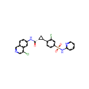 O=C(Nc1ccc2cncc(Cl)c2c1)[C@@H]1CC1c1ccc(S(=O)(=O)Nc2ccccn2)cc1F